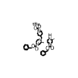 C[C@H]1CN(C(=O)OCc2ccccc2)CCN1.C[C@H]1CN(C(=O)OCc2ccccc2)CCN1CC1CCN(C(=O)OC(C)(C)C)CC1